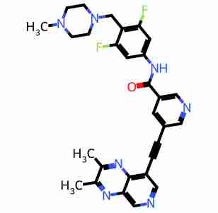 Cc1nc2cncc(C#Cc3cncc(C(=O)Nc4cc(F)c(CN5CCN(C)CC5)c(F)c4)c3)c2nc1C